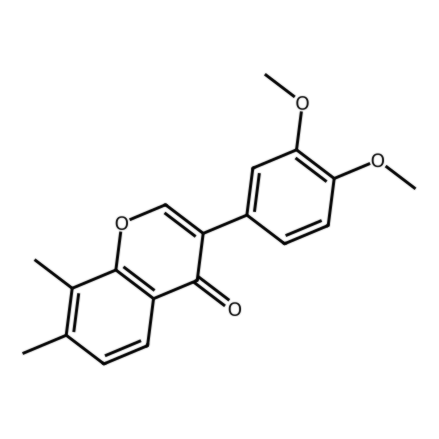 COc1ccc(-c2coc3c(C)c(C)ccc3c2=O)cc1OC